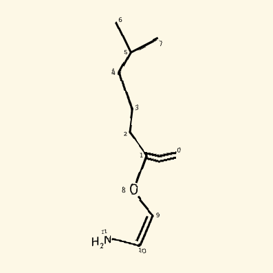 C=C(CCCC(C)C)O/C=C\N